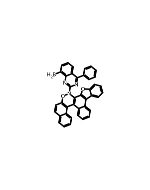 Bc1cccc2c(-c3ccccc3)nc(N3Oc4ccc5ccccc5c4-c4c3c3oc5ccccc5c3c3ccccc43)nc12